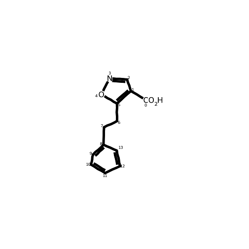 O=C(O)c1cnoc1CCc1ccccc1